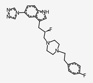 Fc1ccc(CCN2CCN(C[C@H](F)Cc3c[nH]c4ccc(-n5cnnc5)cc34)CC2)cc1